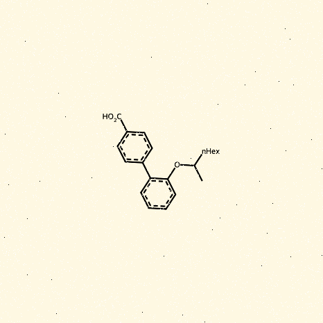 CCCCCCC(C)Oc1ccccc1-c1ccc(C(=O)O)cc1